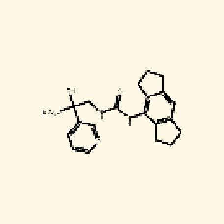 CCOC(=O)C(O)(CNC(=S)Nc1c2c(cc3c1CCC3)CCC2)c1cccnc1